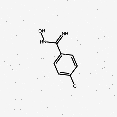 N=C(NO)c1ccc([O])cc1